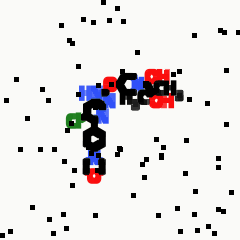 CC(C)(O)C(O)N1CCC(Oc2nc3nc(-c4ccc(N5CCOCC5)cc4)c(Cl)cc3[nH]2)CC1